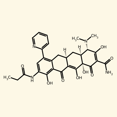 CCC(=O)Nc1cc(-c2ccccn2)c2c(c1O)C(=O)C1=C(O)[C@]3(O)C(=O)C(C(N)=O)=C(O)[C@@H](N(C)C)[C@@H]3C[C@@H]1C2